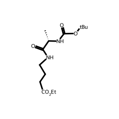 CCOC(=O)CCCNC(=O)[C@H](C)NC(=O)OC(C)(C)C